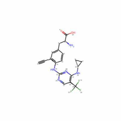 C#Cc1cc(C[C@H](N)C(=O)O)ccc1Nc1ncc(C(F)(F)F)c(NC2CC2)n1